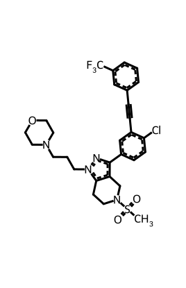 CS(=O)(=O)N1CCc2c(c(-c3ccc(Cl)c(C#Cc4cccc(C(F)(F)F)c4)c3)nn2CCCN2CCOCC2)C1